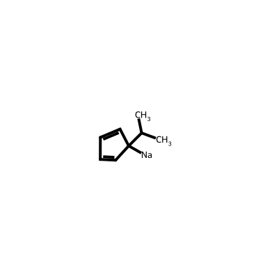 CC(C)[C]1([Na])C=CC=C1